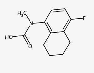 CN(C(=O)O)c1ccc(F)c2c1CCCC2